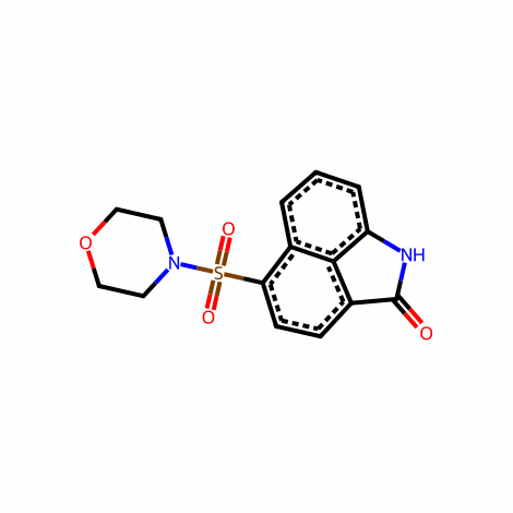 O=C1Nc2cccc3c(S(=O)(=O)N4CCOCC4)ccc1c23